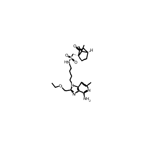 CCOCc1nc2c(N)nc(C)cc2n1CCCCNS(=O)(=O)C[C@]12CC[C@H](CC1=O)C2(C)C